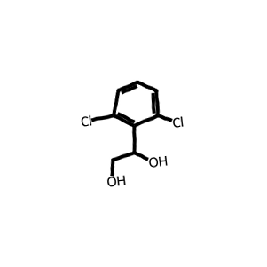 OCC(O)c1c(Cl)cccc1Cl